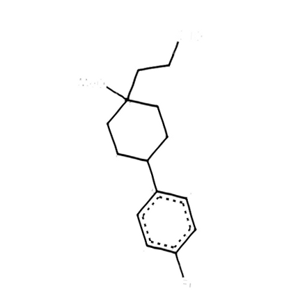 CCc1ccc(C2CCC(CCC=O)(OC)CC2)cc1